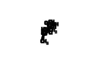 CC#Cc1cnc2[nH]c([C@]3(C)CC(=O)N(C)C(=N)N3)c(Cl)c2c1